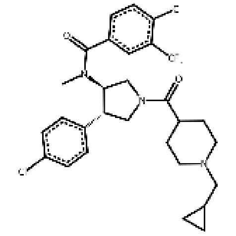 CN(C(=O)c1ccc(Cl)c(C(F)(F)F)c1)[C@H]1CN(C(=O)C2CCN(CC3CC3)CC2)C[C@@H]1c1ccc(Cl)cc1